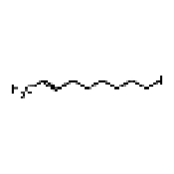 C/C=C/CCCCCCI